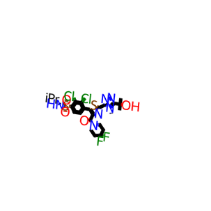 CC(C)NS(=O)(=O)c1ccc(-c2sc(-c3nnc(C(C)(C)O)n3C)nc2C(=O)N2CCC(F)(F)CC2)c(Cl)c1Cl